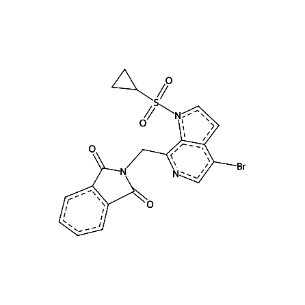 O=C1c2ccccc2C(=O)N1Cc1ncc(Br)c2ccn(S(=O)(=O)C3CC3)c12